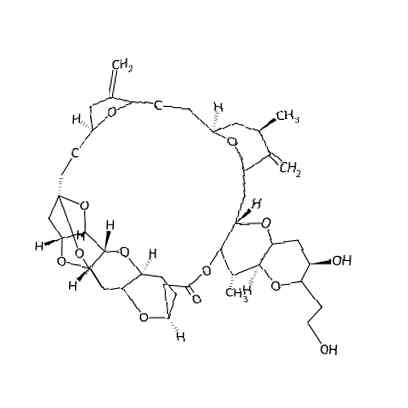 C=C1C[C@@H]2CC[C@@]34C[C@H]5O[C@H]6C(O3)C3O[C@H](CC[C@@H]3O[C@H]6[C@H]5O4)CC(=O)OC3[C@H](CC4O[C@@H](CCC1O2)C[C@@H](C)C4=C)OC1C[C@@H](O)C(CCO)O[C@H]1[C@@H]3C